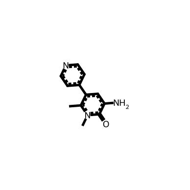 Cc1c(-c2ccncc2)cc(N)c(=O)n1C